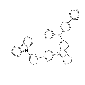 C1=Cc2c(c3c(n2-c2ccc(C4=CC(n5c6ccccc6c6ccccc65)=CCC4)cc2)C=C(N(c2ccccc2)c2ccc(-c4ccccc4)cc2)CC3)CC1